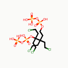 O=P(O)(O)OP(=O)(O)OCCC(CCCl)(CCCl)C(CCCl)(CCCl)OP(=O)(O)OP(=O)(O)O